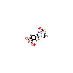 CC(C)(C)C1CC2(CCN1C(=O)O)COc1c2ccc2c1C(O)OC2=O